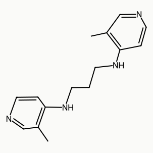 Cc1cnccc1NCCCNc1ccncc1C